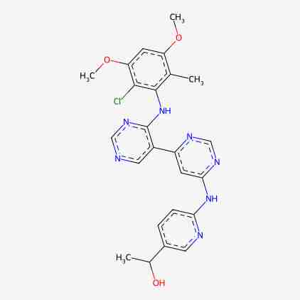 COc1cc(OC)c(Cl)c(Nc2ncncc2-c2cc(Nc3ccc(C(C)O)cn3)ncn2)c1C